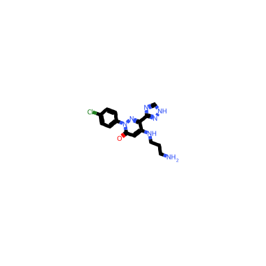 NCCCNc1cc(=O)n(-c2ccc(Cl)cc2)nc1-c1nc[nH]n1